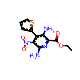 CCOC(=O)c1nc(N)c([N+](=O)[O-])c(-c2cccs2)c1N